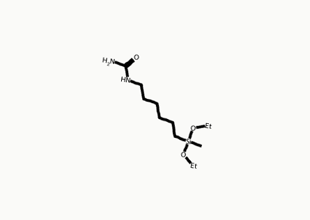 CCO[Si](C)(CCCCCCNC(N)=O)OCC